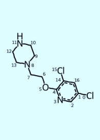 Clc1cnc(OCCN2CCNCC2)c(Cl)c1